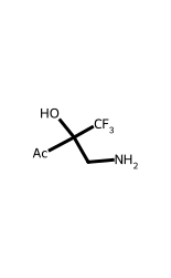 CC(=O)C(O)(CN)C(F)(F)F